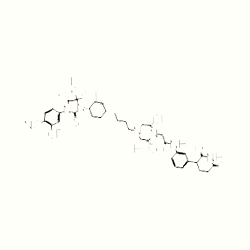 C[C@@H]1CN(CCCC[C@H]2CC[C@H](N3C(=S)N(c4ccc(C#N)c(C(F)(F)F)c4)C(=O)C3(C)C)CC2)C[C@H](C)N1CC(=O)Nc1cccc(C2CCC(=O)NC2=O)c1